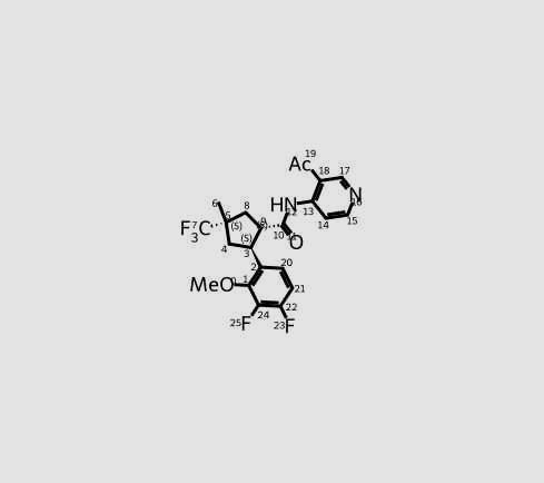 COc1c([C@H]2C[C@](C)(C(F)(F)F)C[C@@H]2C(=O)Nc2ccncc2C(C)=O)ccc(F)c1F